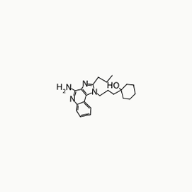 CCCc1nc2c(N)nc3ccccc3c2n1CCCC1(O)CCCCC1